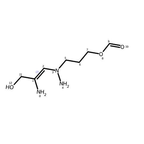 N/C(=C\N(N)CCCOC=O)CO